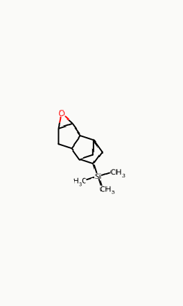 C[Si](C)(C)C1CC2CC1C1CC3OC3C21